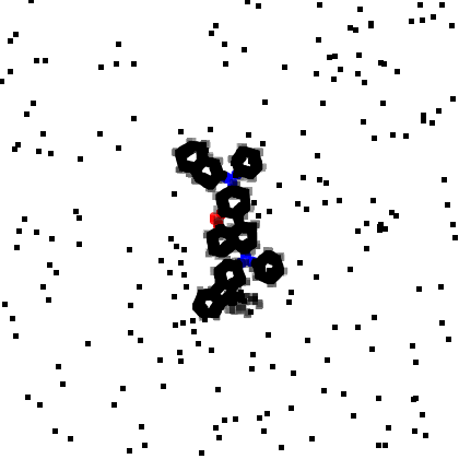 CC1(C)c2ccccc2-c2ccc(N(c3ccccc3)c3ccc4c5c(cccc35)Oc3cc(N(c5ccccc5)c5ccc6ccccc6c5)ccc3-4)cc21